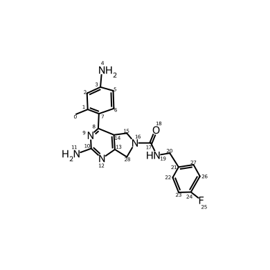 Cc1cc(N)ccc1-c1nc(N)nc2c1CN(C(=O)NCc1ccc(F)cc1)C2